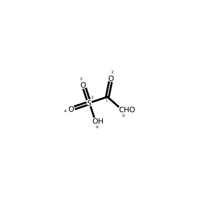 O=CC(=O)S(=O)(=O)O